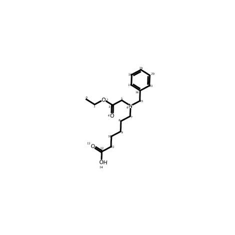 CCOC(=O)CN(CCCCCC(=O)O)Cc1ccccc1